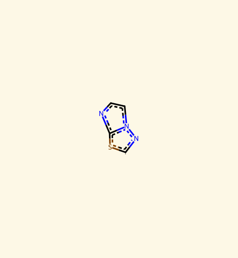 [c]1nn2ccnc2s1